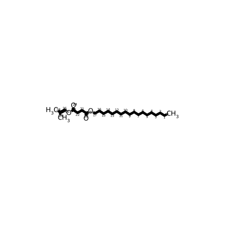 CCCCCCCCCCCCCCCCCCOC(=O)CCC(=O)OC=C(C)C